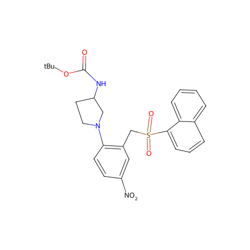 CC(C)(C)OC(=O)NC1CCN(c2ccc([N+](=O)[O-])cc2CS(=O)(=O)c2cccc3ccccc23)C1